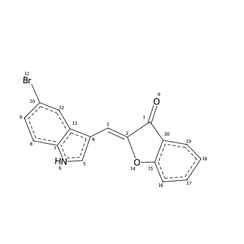 O=C1/C(=C/c2c[nH]c3ccc(Br)cc23)Oc2ccccc21